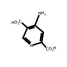 Nc1cc(C(=O)O)ncc1C(=O)O